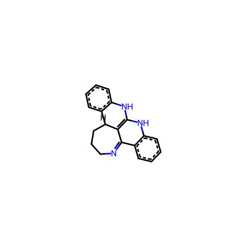 c1ccc2c(c1)NC1=C3C2=NCCC[C@H]3c2ccccc2N1